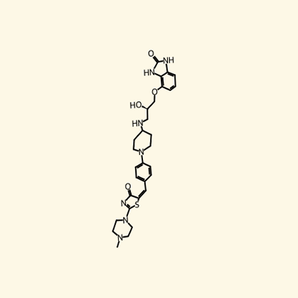 CN1CCN(C2=NC(=O)C(=Cc3ccc(N4CCC(NC[C@@H](O)COc5cccc6[nH]c(=O)[nH]c56)CC4)cc3)S2)CC1